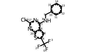 FC(F)(F)c1cc2c(NCc3ccccc3)nc(Cl)nc2s1